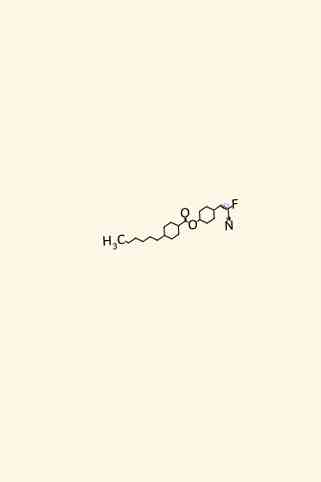 CCCCCCC1CCC(C(=O)OC2CCC(/C=C(/F)C#N)CC2)CC1